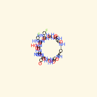 COc1ccc(C[C@@H]2NC(=O)[C@H](Cc3cnc[nH]3)NC(=O)[C@H](CC(=O)O)NC(=O)[C@H](Cc3c[nH]c4ccc(F)cc34)NC(=O)[C@H](Cc3c[nH]c4ccc(F)cc34)NC(=O)[C@@H](C)NC(=O)[C@H](NC(C)=O)CCC(=O)NCc3ccc(cc3)CCNC(=O)C[C@@H](C(N)=O)NC(=O)[C@]3(C)CCCN3C2=O)cc1